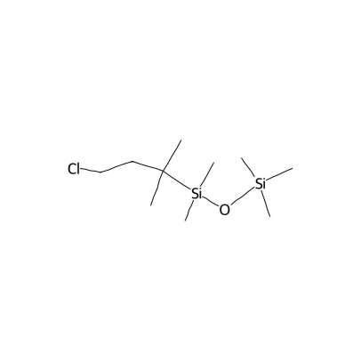 CC(C)(CCCl)[Si](C)(C)O[Si](C)(C)C